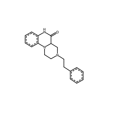 O=C1Nc2ccccc2N2CCN(CCc3ccccc3)CC12